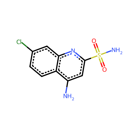 Nc1cc(S(N)(=O)=O)nc2cc(Cl)ccc12